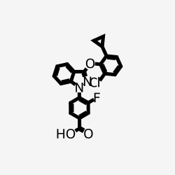 O=C(O)c1ccc(-n2nc(Oc3c(Cl)cccc3C3CC3)c3ccccc32)c(F)c1